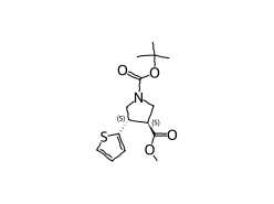 COC(=O)[C@@H]1CN(C(=O)OC(C)(C)C)C[C@H]1c1cccs1